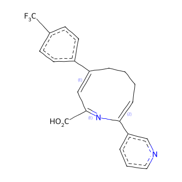 O=C(O)C1=N/C(c2cccnc2)=C\CCC/C(c2ccc(C(F)(F)F)cc2)=C\1